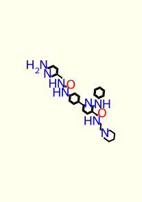 Nc1ccc(CNC(=O)Nc2ccc(-c3ccc(C(=O)NCCN4CCCCC4)c(Nc4ccccc4)n3)cc2)cn1